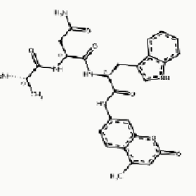 CC(=O)N[C@@H](C)C(=O)N[C@@H](CC(N)=O)C(=O)N[C@@H](Cc1c[nH]c2ccccc12)C(=O)Nc1ccc2c(C)cc(=O)oc2c1